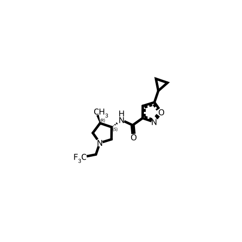 C[C@@H]1CN(CC(F)(F)F)C[C@H]1NC(=O)c1cc(C2CC2)on1